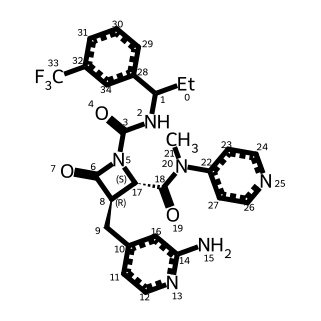 CCC(NC(=O)N1C(=O)[C@H](Cc2ccnc(N)c2)[C@H]1C(=O)N(C)c1ccncc1)c1cccc(C(F)(F)F)c1